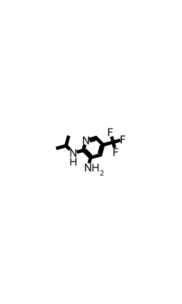 CC(C)Nc1ncc(C(F)(F)F)cc1N